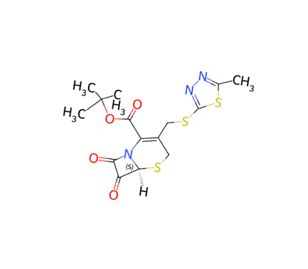 Cc1nnc(SCC2=C(C(=O)OC(C)(C)C)N3C(=O)C(=O)[C@@H]3SC2)s1